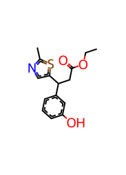 CCOC(=O)CC(c1cccc(O)c1)c1cnc(C)s1